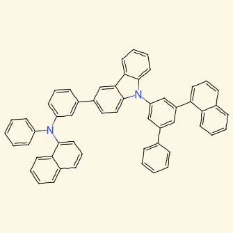 c1ccc(-c2cc(-c3cccc4ccccc34)cc(-n3c4ccccc4c4cc(-c5cccc(N(c6ccccc6)c6cccc7ccccc67)c5)ccc43)c2)cc1